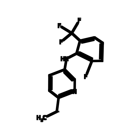 C[CH]c1ccc(Nc2c(F)cccc2C(F)(F)F)cn1